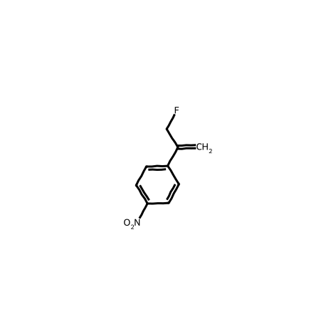 C=C(CF)c1ccc([N+](=O)[O-])cc1